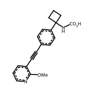 COc1ncccc1C#Cc1ccc(C2(NC(=O)O)CCC2)cc1